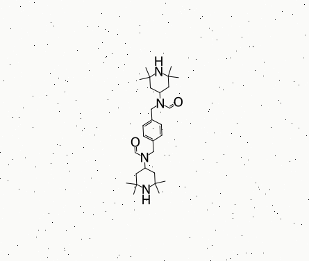 CC1(C)CC(N(C=O)Cc2ccc(CN(C=O)C3CC(C)(C)NC(C)(C)C3)cc2)CC(C)(C)N1